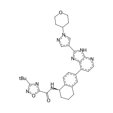 CC(C)(C)c1noc(C(=O)N[C@@H]2CCCc3cc(-c4ccnc5[nH]c(-c6cnn(C7CCOCC7)c6)nc45)ccc32)n1